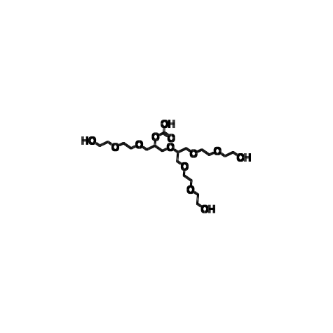 O=C(O)OC(COCCOCCO)COC(COCCOCCO)COCCOCCO